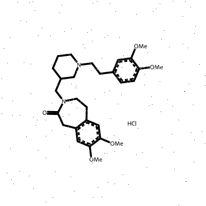 COc1ccc(CCN2CCCC(CN3CCc4cc(OC)c(OC)cc4CC3=O)C2)cc1OC.Cl